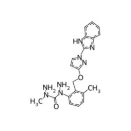 Cc1cccc(N(N)C(=O)N(C)N)c1COc1ccn(-c2nc3ccccc3[nH]2)n1